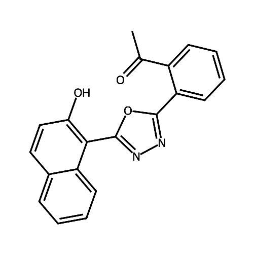 CC(=O)c1ccccc1-c1nnc(-c2c(O)ccc3ccccc23)o1